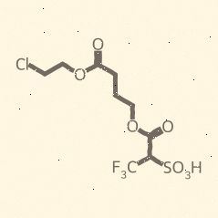 O=C(CCCOC(=O)C(C(F)(F)F)S(=O)(=O)O)OCCCl